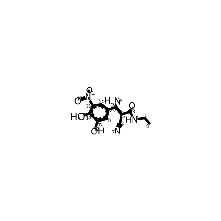 CCNC(=O)/C(C#N)=C(\N)c1cc(O)c(O)c([N+](=O)[O-])c1